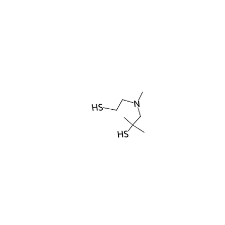 CN(CCS)CC(C)(C)S